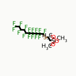 CO[Si](CCSC(F)C(F)(F)C(F)(F)C(F)(F)C(F)(F)C(F)C(F)C(F)C(F)C(F)F)(OC)OC